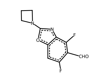 O=Cc1c(F)cc2oc(N3CCC3)nc2c1F